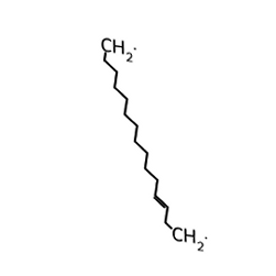 [CH2]CC=CCCCCCCCCCC[CH2]